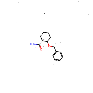 NC(=O)[C@@H]1CCCC[C]1OCc1ccccc1